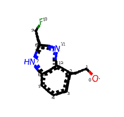 [O]Cc1cccc2[nH]c(CF)nc12